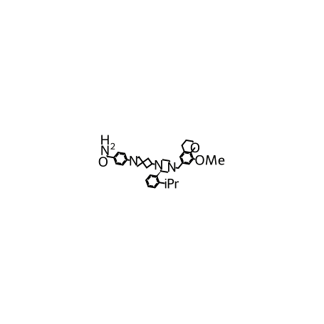 COc1cc(CN2CCN(C3CC4(C3)CN(c3ccc(C(N)=O)cc3)C4)[C@H](c3ccccc3C(C)C)C2)cc2c1OCCC2